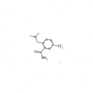 CN(C)Cc1ccc(C(F)(F)F)cc1C(N)=O